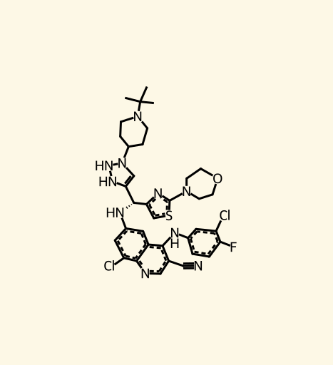 CC(C)(C)N1CCC(N2C=C([C@@H](Nc3cc(Cl)c4ncc(C#N)c(Nc5ccc(F)c(Cl)c5)c4c3)c3csc(N4CCOCC4)n3)NN2)CC1